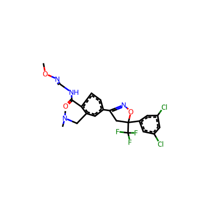 CON=CNC(=O)c1ccc(C2=NOC(c3cc(Cl)cc(Cl)c3)(C(F)(F)F)C2)cc1CN(C)C